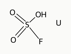 O=S(=O)(O)F.[U]